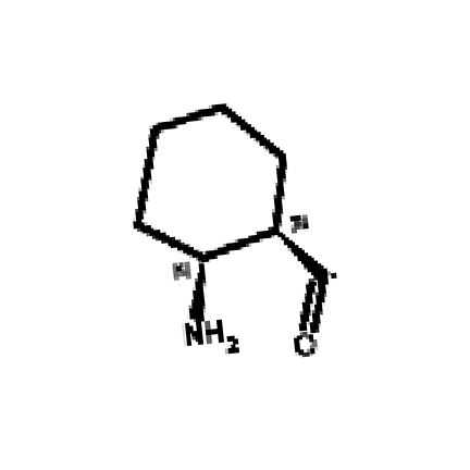 N[C@H]1CCCC[C@H]1[C]=O